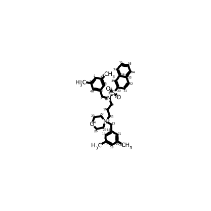 Cc1cc(C)cc(CN(CCC[N+]2(Cc3cc(C)cc(C)c3)CCOCC2)S(=O)(=O)c2ccc3ccccc3c2)c1